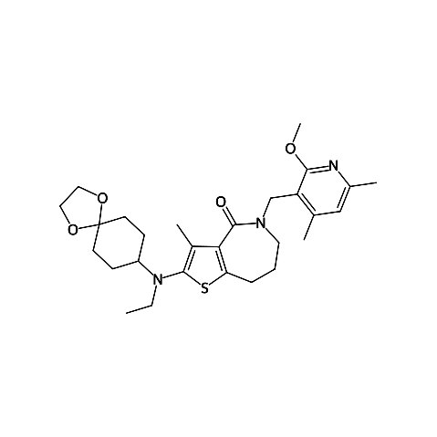 CCN(c1sc2c(c1C)C(=O)N(Cc1c(C)cc(C)nc1OC)CCC2)C1CCC2(CC1)OCCO2